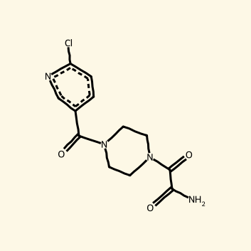 NC(=O)C(=O)N1CCN(C(=O)c2ccc(Cl)nc2)CC1